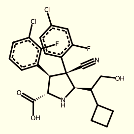 N#C[C@@]1(c2ccc(Cl)cc2F)[C@@H](C(CO)C2CCC2)N[C@H](C(=O)O)[C@H]1c1cccc(Cl)c1F